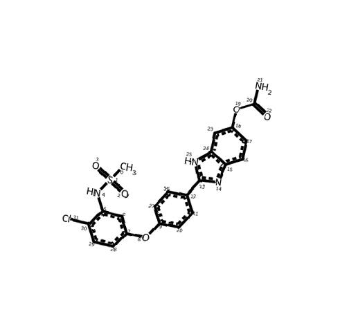 CS(=O)(=O)Nc1cc(Oc2ccc(-c3nc4ccc(OC(N)=O)cc4[nH]3)cc2)ccc1Cl